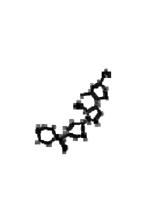 Cc1cc(C#N)ccc1-c1cnn(-c2ccc(C(=O)N3CCOCC3)cn2)c1O